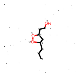 CCCC1CC(CCO)OO1